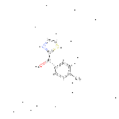 Cc1ccc(C(=O)c2nccs2)cc1